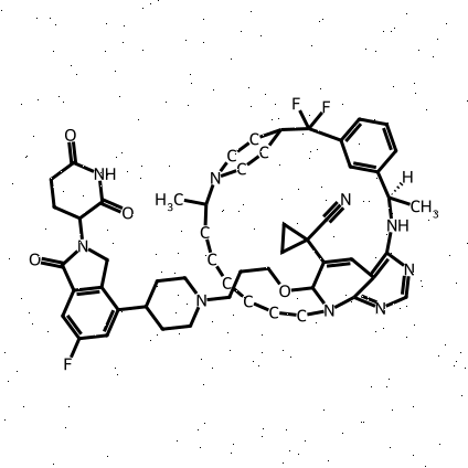 CC1CCCCCCN2c3ncnc(c3C=C(C3(C#N)CC3)C2OCCCN2CCC(c3cc(F)cc4c3CN(C3CCC(=O)NC3=O)C4=O)CC2)N[C@H](C)c2cccc(c2)C(F)(F)C2CCN1CC2